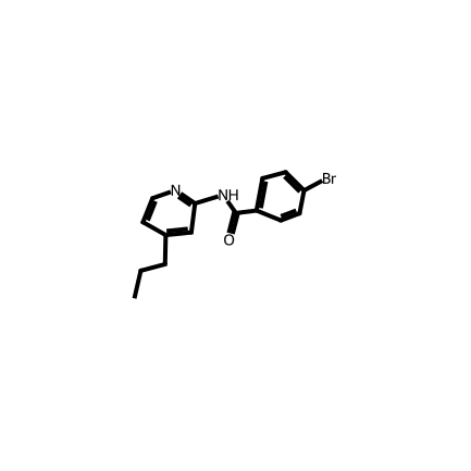 CCCc1ccnc(NC(=O)c2ccc(Br)cc2)c1